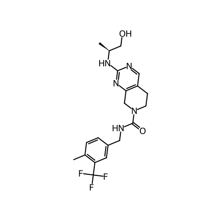 Cc1ccc(CNC(=O)N2CCc3cnc(N[C@@H](C)CO)nc3C2)cc1C(F)(F)F